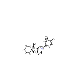 Cc1ccc(/C=C/C(=O)NC2(C(=O)O)CCCCC2)cc1C